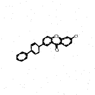 O=c1c2ccc(Cl)cc2oc2ccc(C3C=CC(c4ccccc4)=CC3)cc12